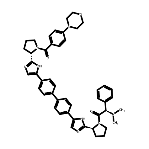 CN(C)[C@@H](C(=O)N1CCC[C@H]1c1ncc(-c2ccc(-c3ccc(-c4cnc([C@@H]5CCCN5C(=O)c5ccc(N6CCOCC6)cc5)[nH]4)cc3)cc2)[nH]1)c1ccccc1